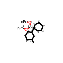 CCCO[SiH](OCCC)C1(C2CCCC(C)C2)CCCCC1